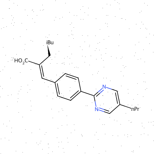 CCCc1cnc(-c2ccc(C=C(C[C@H](C)CC)C(=O)O)cc2)nc1